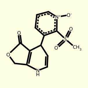 CS(=O)(=O)c1c(C2C=CNC3=C2C(=O)OC3)ccc[n+]1[O-]